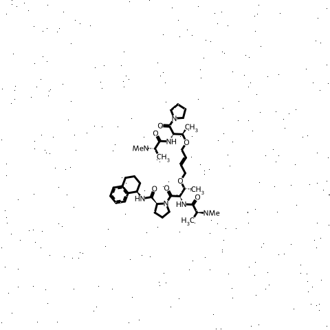 CN[C@@H](C)C(=O)N[C@H](C(=O)N1CCCC1)[C@@H](C)OC/C=C/CO[C@H](C)[C@H](NC(=O)[C@H](C)NC)C(=O)N1CCC[C@H]1C(=O)N[C@@H]1CCCc2ccccc21